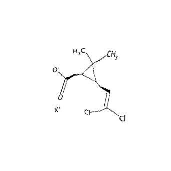 CC1(C)[C@H](C(=O)[O-])[C@@H]1C=C(Cl)Cl.[K+]